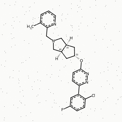 Cc1cccnc1CN1C[C@H]2C[C@H](Oc3ccc(-c4cc(F)ccc4Cl)nn3)C[C@H]2C1